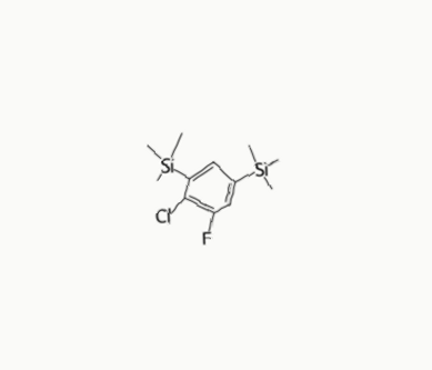 C[Si](C)(C)c1cc(F)c(Cl)c([Si](C)(C)C)c1